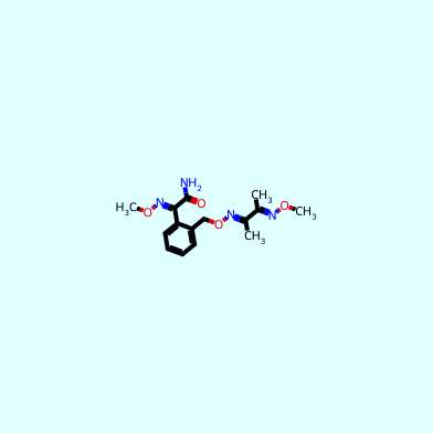 CO/N=C(C)/C(C)=N/OCc1ccccc1/C(=N\OC)C(N)=O